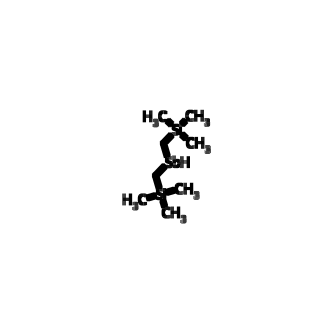 C[Si](C)(C)[CH2][SbH][CH2][Si](C)(C)C